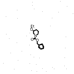 CCOC1CCCN(C(=O)OCc2ccccc2)C1